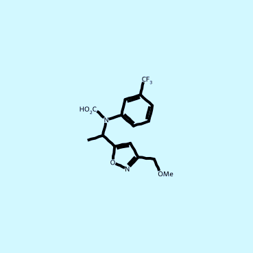 COCc1cc(C(C)N(C(=O)O)c2cccc(C(F)(F)F)c2)on1